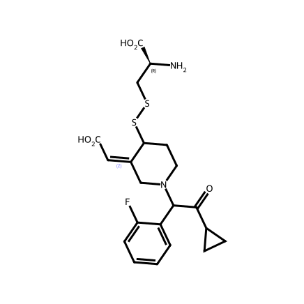 N[C@@H](CSSC1CCN(C(C(=O)C2CC2)c2ccccc2F)C/C1=C/C(=O)O)C(=O)O